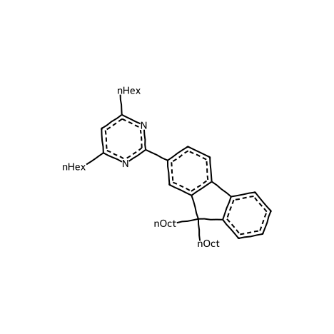 CCCCCCCCC1(CCCCCCCC)c2ccccc2-c2ccc(-c3nc(CCCCCC)cc(CCCCCC)n3)cc21